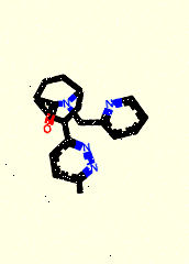 Cc1ccc(C2CC3CCC(C2)N(Cc2ccccn2)C3=O)nn1